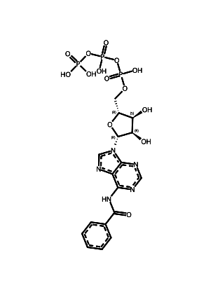 O=C(Nc1ncnc2c1ncn2[C@@H]1O[C@H](COP(=O)(O)OP(=O)(O)OP(=O)(O)O)[C@@H](O)[C@H]1O)c1ccccc1